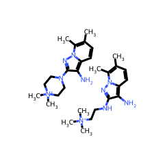 Cc1ccc2c(N)c(N3CC[N+](C)(C)CC3)nn2c1C.Cc1ccc2c(N)c(NCC[N+](C)(C)C)nn2c1C